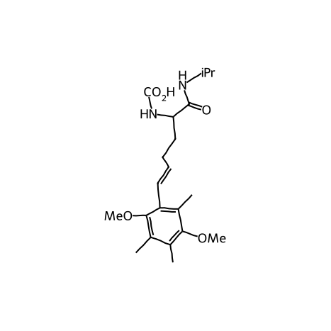 COc1c(C)c(C)c(OC)c(/C=C/CCC(NC(=O)O)C(=O)NC(C)C)c1C